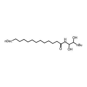 CCCCCCCCCCCCCCCCCCCCCC(=O)NC(O)C(O)CCCC